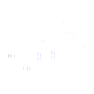 CC(C)CNC(=O)Nc1cc(F)c(F)c(F)c1